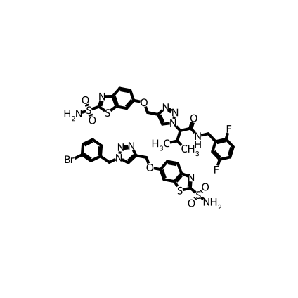 CC(C)C(C(=O)NCc1cc(F)ccc1F)n1cc(COc2ccc3nc(S(N)(=O)=O)sc3c2)nn1.NS(=O)(=O)c1nc2ccc(OCc3cn(Cc4cccc(Br)c4)nn3)cc2s1